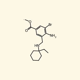 [CH2]OC(=O)c1cc(Br)c(N)c(CNC2(CC)CCCCC2)c1